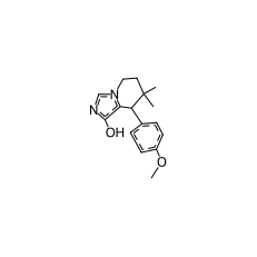 COc1ccc(C2c3c(O)ncn3CCC2(C)C)cc1